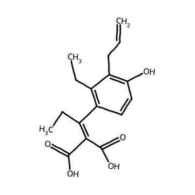 C=CCc1c(O)ccc(C(CC)=C(C(=O)O)C(=O)O)c1CC